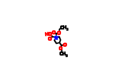 CCOC(=O)C1CC[N+](C(=O)O)(C(=O)OCC)CC1